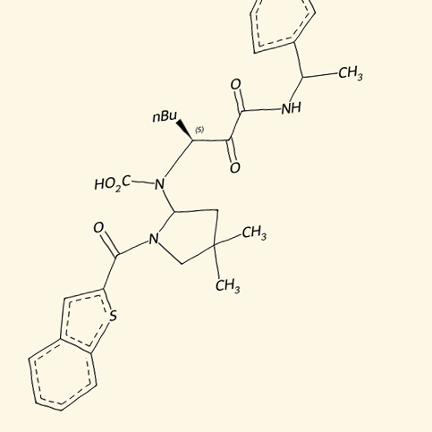 CCCC[C@@H](C(=O)C(=O)NC(C)c1ccccc1)N(C(=O)O)C1CC(C)(C)CN1C(=O)c1cc2ccccc2s1